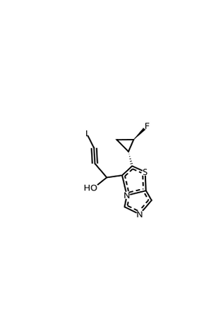 OC(C#CI)c1c([C@@H]2C[C@H]2F)sc2cncn12